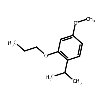 CCCOc1cc(OC)ccc1C(C)C